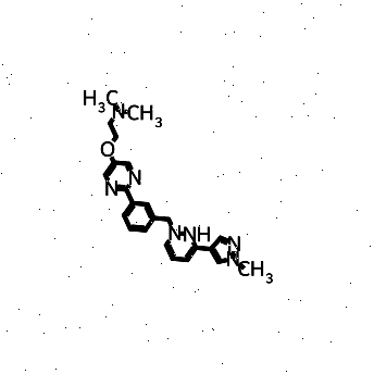 CN(C)CCOc1cnc(-c2cccc(CN3C=CC=C(c4cnn(C)c4)N3)c2)nc1